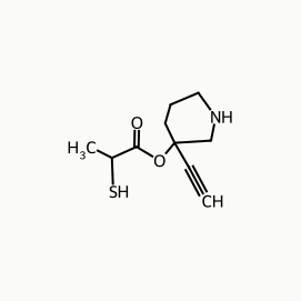 C#CC1(OC(=O)C(C)S)CCCNC1